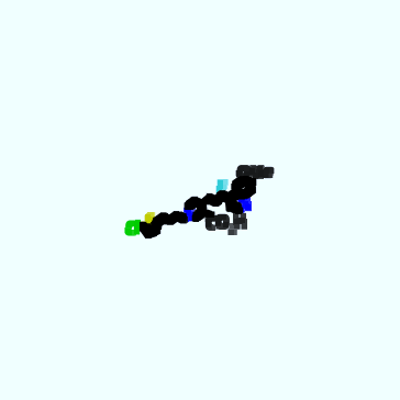 COc1ccc2nccc([C@@H](F)CC[C@@H]3CCN(CCCCc4ccc(Cl)s4)C[C@@H]3CC(=O)O)c2c1